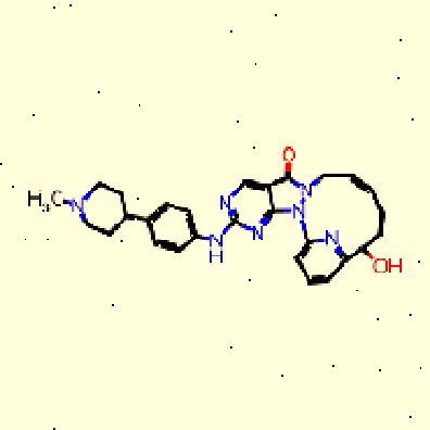 CN1CCC(c2ccc(Nc3ncc4c(=O)n5n(c4n3)-c3cccc(n3)C(O)CC/C=C\C5)cc2)CC1